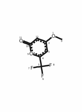 COc1cc(C(F)(F)F)oc(=O)c1